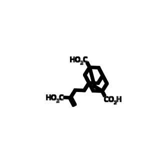 C=C(CCC12CC3CC(C(=O)O)(C1)CC(C(=O)O)(C3)C2)C(=O)O